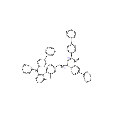 C=N/C(=C\C(=N/Cc1ccc2c(c1)Cc1cccc(N(c3ccccc3)c3ccc(-c4ccccc4)cc3)c1-2)c1ccc(-c2ccccc2)cc1)c1ccc(-c2ccccc2)cc1